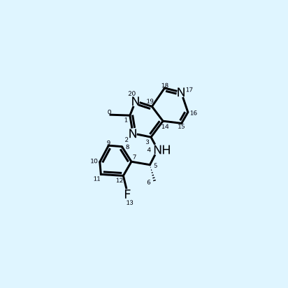 Cc1nc(N[C@H](C)c2ccccc2F)c2ccncc2n1